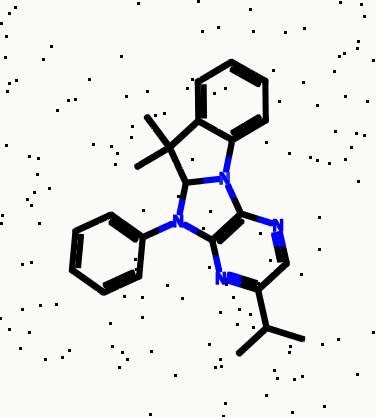 CC(C)c1cnc2c(n1)N(c1ccccc1)C1N2c2ccccc2C1(C)C